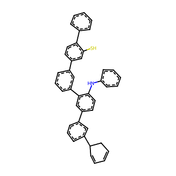 Sc1cc(-c2cccc(-c3cc(-c4cccc(C5C=CC=CC5)c4)ccc3Nc3ccccc3)c2)ccc1-c1ccccc1